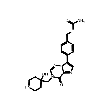 NC(=O)OCc1ccc(-c2cnc3c(=O)n(CC4(O)CCNCC4)cnn23)cc1